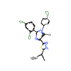 CCCCC(C)c1nnc(-c2nc(-c3ccc(Cl)cc3Cl)n(C3C=CC(Cl)=CC3)c2CC)s1